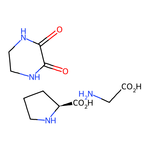 NCC(=O)O.O=C(O)[C@@H]1CCCN1.O=C1NCCNC1=O